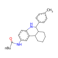 CCCCC(=O)Nc1ccc2c(c1)C1CCCCC1C(c1ccc(C)cc1)N2